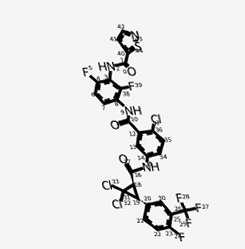 O=C(Nc1c(F)ccc(NC(=O)c2cc(NC(=O)[C@H]3[C@H](c4ccc(F)c(C(F)(F)F)c4)C3(Cl)Cl)ccc2Cl)c1F)c1ccns1